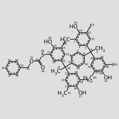 Cc1cc(C(C)(c2ccc(C(C)(c3cc(C)c(O)c(I)c3)c3cc(I)c(O)c(SC(=O)OCc4ccccc4)c3)cc2)c2cc(C)c(O)c(I)c2)cc(I)c1O